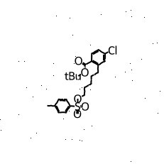 Cc1ccc(S(=O)(=O)OCCCCCc2cc(Cl)ccc2C(=O)OC(C)(C)C)cc1